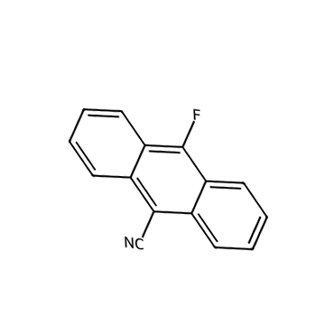 N#Cc1c2ccccc2c(F)c2ccccc12